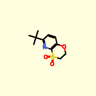 CC(C)(C)c1ccc2c(n1)S(=O)(=O)CCO2